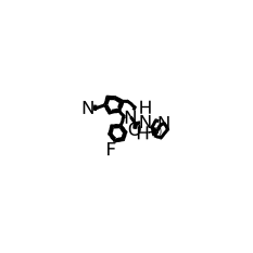 N#Cc1ccc2c(c1)C(c1ccc(F)cc1)N(C(=O)N[C@@H]1CN3CCC1CC3)CC2